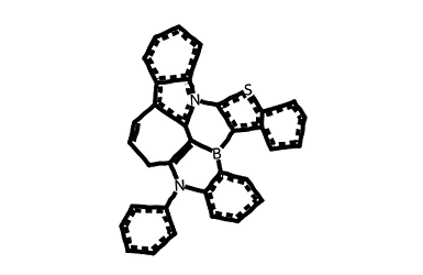 C1=Cc2c3n(c4ccccc24)-c2sc4ccccc4c2B2C3=C(C1)N(c1ccccc1)c1ccccc12